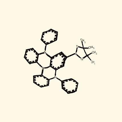 CC1(C)OB(c2cc3c4c(c2)N(c2ccccc2)c2ccccc2B4c2ccccc2N3c2ccccc2)OC1(C)C